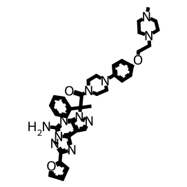 CN1CCN(CCOc2ccc(N3CCN(C(=O)C(C)(c4ccccc4)n4ncc5c4nc(N)n4nc(-c6ccco6)nc54)CC3)cc2)CC1